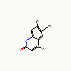 CC(=O)c1cc(=O)[nH]c2cc(C(C)C)c(C)cc12